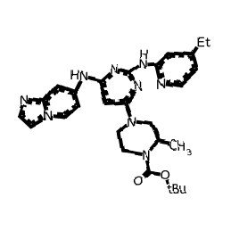 CCc1ccnc(Nc2nc(Nc3ccn4ccnc4c3)cc(N3CCN(C(=O)OC(C)(C)C)C(C)C3)n2)c1